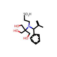 C=C(C)C(c1ccccc1)N(CCS(=O)(=O)O)C(CO)(CO)CO